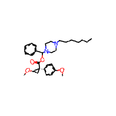 CCCCCCCN1CCN(C(OC(=O)[C@@]2(c3ccc(OC)cc3)C[C@H]2OC)c2ccccc2)CC1